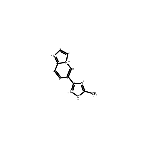 FC(F)(F)c1nc(-c2ccc3nccn3c2)no1